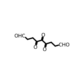 O=CCCC(=O)C(=O)C(=O)CCC=O